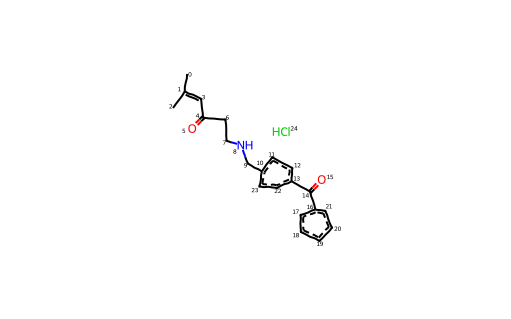 CC(C)=CC(=O)CCNCc1ccc(C(=O)c2ccccc2)cc1.Cl